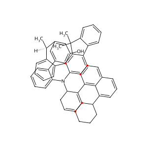 C[C@H]1c2cc(O)c(c(-c3ccccc3N(c3ccc4c(c3)C(C)(C)c3ccccc3-4)C3CC=CC=C3c3cccc4cccc(C5CCCCC5)c34)c2)-c2ccccc21